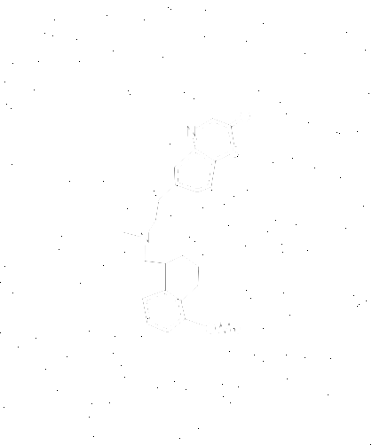 COc1cccc2c1CCCC2CN(C)CCc1ccc2sc(=O)cnc2c1